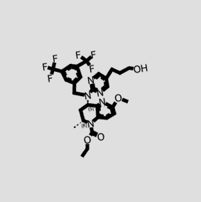 CCOC(=O)N1c2ccc(OC)nc2[C@@H](N(Cc2cc(C(F)(F)F)cc(C(F)(F)F)c2)c2ncc(CCCO)cn2)C[C@H]1C